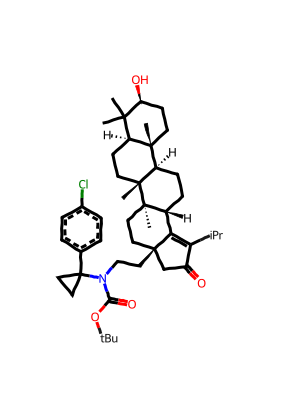 CC(C)C1=C2[C@H]3CC[C@@H]4[C@@]5(C)CC[C@H](O)C(C)(C)[C@@H]5CC[C@@]4(C)[C@]3(C)CC[C@@]2(CCN(C(=O)OC(C)(C)C)C2(c3ccc(Cl)cc3)CC2)CC1=O